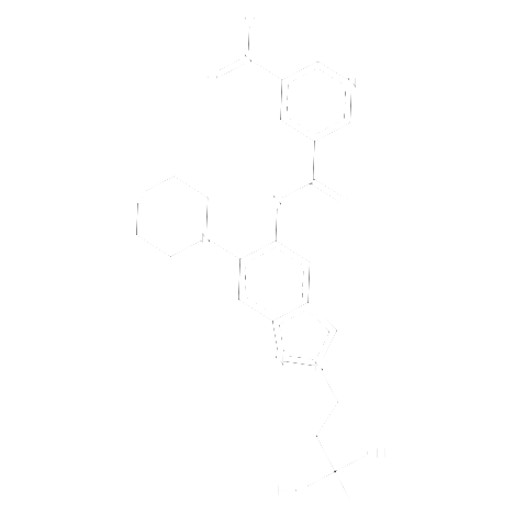 CC(C)(O)CCn1cc2cc(NC(=O)c3cncc([N+](=O)[O-])c3)c(N3CCOCC3)cc2n1